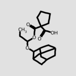 CCC(OC(=O)C1(C(=O)O)CCCC1)OC1C2CC3CC(C2)CC1C3